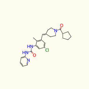 Cc1c(C=C2CCN(C(=O)C3CCCC3)CC2)cc(Cl)cc1NC(=O)Nc1ccccn1